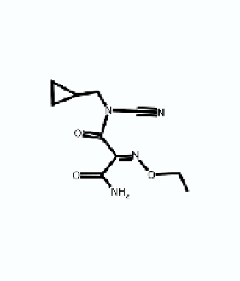 CCON=C(C(N)=O)C(=O)N(C#N)CC1CC1